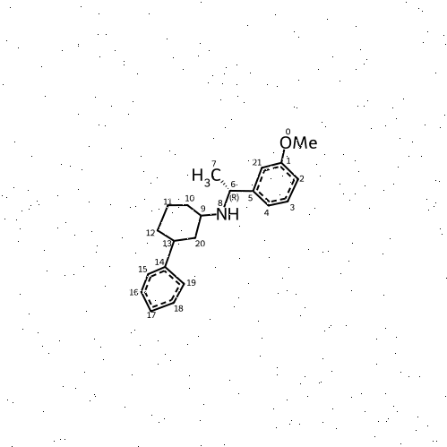 COc1cccc([C@@H](C)NC2CCCC(c3ccccc3)C2)c1